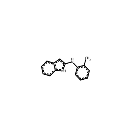 [CH2]c1ccccc1Nc1cc2ccccc2[nH]1